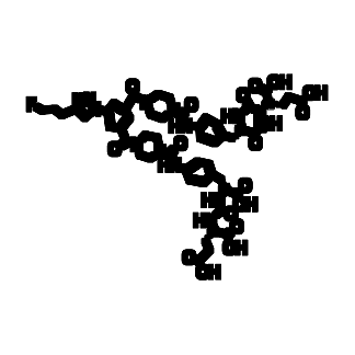 O=C(O)CC[C@H](NC(=O)N[C@@H](Cc1ccc(NC(=O)N2CCN(C(=O)c3cc(C(=O)N4CCN(C(=O)Nc5ccc(C[C@H](NC(=O)N[C@@H](CCC(=O)O)C(=O)O)C(=O)O)cc5)CC4)cc(-n4cc(CCCF)nn4)c3)CC2)cc1)C(=O)O)C(=O)O